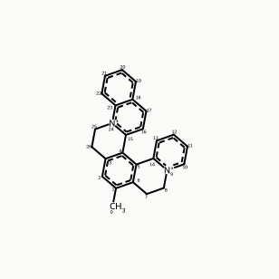 Cc1cc2c(c3c1CC[n+]1ccccc1-3)-c1ccc3ccccc3[n+]1CC2